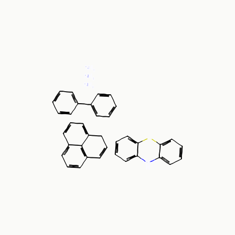 C1=Cc2cccc3cccc(c23)C1.N.N.N.c1ccc(-c2ccccc2)cc1.c1ccc2c(c1)Nc1ccccc1S2